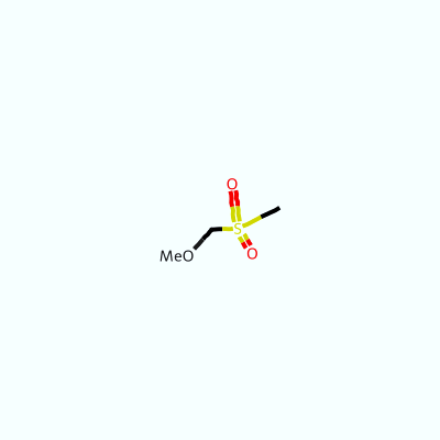 COCS(C)(=O)=O